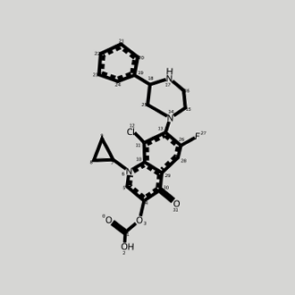 O=C(O)Oc1cn(C2CC2)c2c(Cl)c(N3CCNC(c4ccccc4)C3)c(F)cc2c1=O